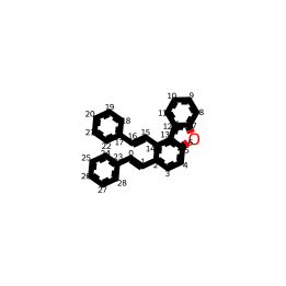 C(=Cc1ccc2oc3ccccc3c2c1C=Cc1ccccc1)c1ccccc1